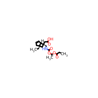 CCC(=O)O[C@@H](C)OC(=O)NC[C@@]1(CC(=O)O)C[C@]2(CC)CC=C[C@H]21